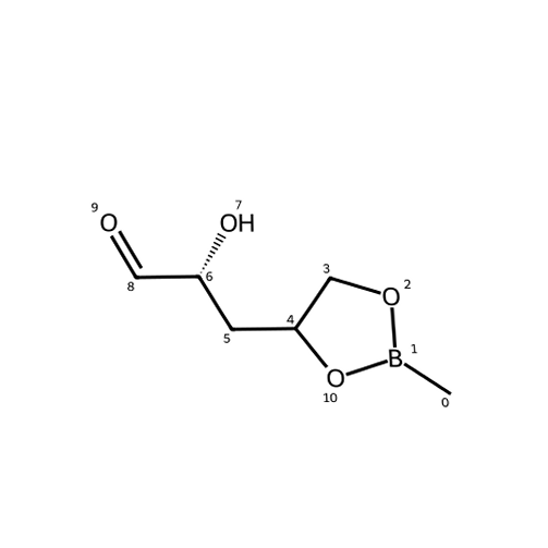 CB1OCC(C[C@@H](O)C=O)O1